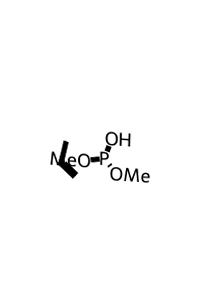 C=CC.COP(O)OC